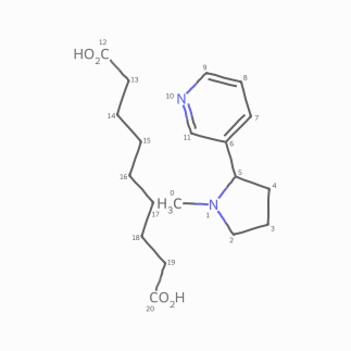 CN1CCCC1c1cccnc1.O=C(O)CCCCCCCC(=O)O